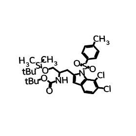 Cc1ccc(S(=O)(=O)n2c(CC(CO[Si](C)(C)C(C)(C)C)NC(=O)OC(C)(C)C)cc3ccc(Cl)c(Cl)c32)cc1